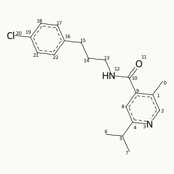 Cc1cnc(C(C)C)cc1C(=O)NCCCc1ccc(Cl)cc1